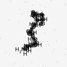 C=CC1=C(C)c2cc3[nH]c(cc4nc(cc5[nH]c(cc1n2)c(C)c5CCC(=O)OC)C(CCCNNC(=O)OCCSSC[C@H](NC(=O)CCOCCNC(=O)CC[C@@H](NC(=O)c1ccc(NCc2cnc5cc(N)[nH]c(=O)c5n2)cc1)C(=O)O)C(=O)O)=C4C)[C@@]1(C)C3=CC=C(C(=O)OC)[C@H]1C(=O)OC